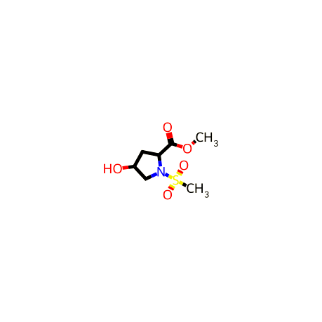 COC(=O)C1CC(O)CN1S(C)(=O)=O